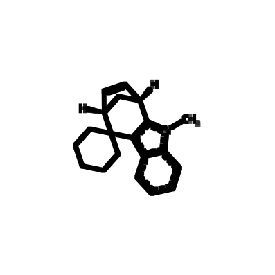 Cn1c2c(c3ccccc31)C1(CCCCC1)[C@@H]1C=C[C@H]2C1